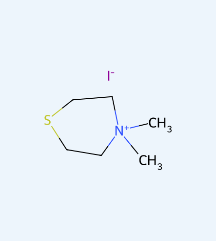 C[N+]1(C)CCSCC1.[I-]